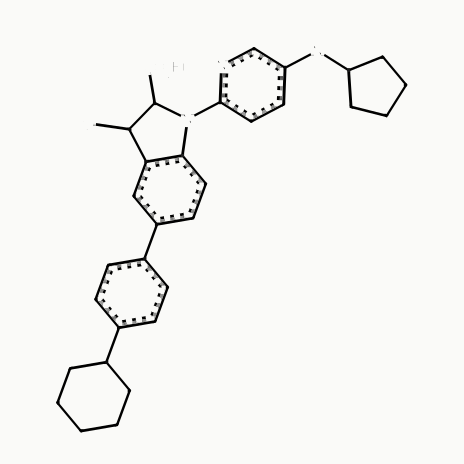 CCOC(=O)C1C(Cl)c2cc(-c3ccc(C4CCCCC4)cc3)ccc2N1c1ccc(NC2CCCC2)cn1